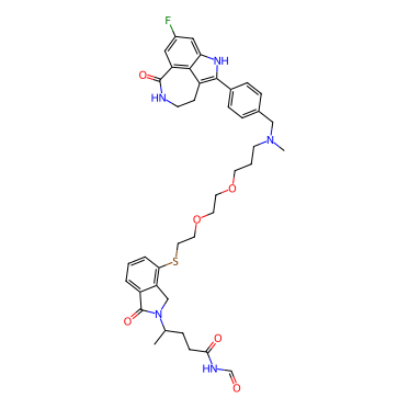 CC(CCC(=O)NC=O)N1Cc2c(SCCOCCOCCCN(C)Cc3ccc(-c4[nH]c5cc(F)cc6c5c4CCNC6=O)cc3)cccc2C1=O